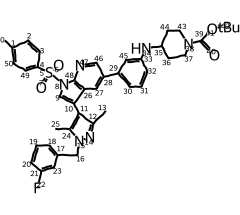 Cc1ccc(S(=O)(=O)n2cc(-c3c(C)nn(Cc4cccc(F)c4)c3C)c3cc(-c4cccc(NC5CCN(C(=O)OC(C)(C)C)CC5)c4)cnc32)cc1